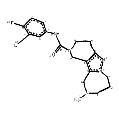 CN1CCCn2nc3c(c2C1)CN(C(=O)Nc1ccc(F)c(Cl)c1)CC3